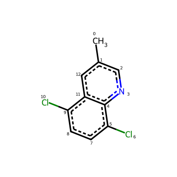 Cc1cnc2c(Cl)ccc(Cl)c2c1